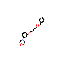 c1ccc(COCCCCOc2cccc(N3CCOCC3)c2)cc1